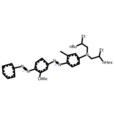 CCCCCCC(CC)CN(CC(CC)CCCC)c1ccc(/N=N/c2ccc(/N=N/c3ccccc3)c(OC)c2)c(C)c1